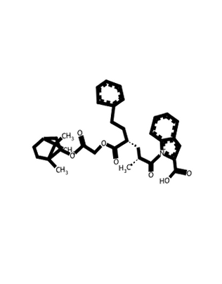 C[C@H](C[C@@H](CCc1ccccc1)C(=O)OCC(=O)OC1CC2CCC1(C)C2(C)C)C(=O)n1c(C(=O)O)cc2ccccc21